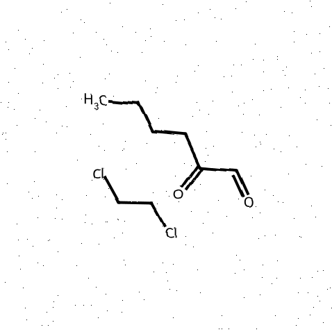 CCCCC(=O)C=O.ClCCCl